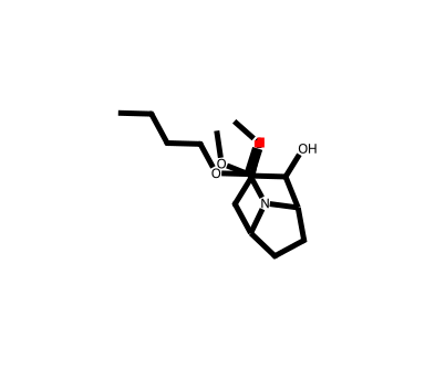 CCCCOC(=O)N1C2CCC1C(O)C(OC)(OC)C2